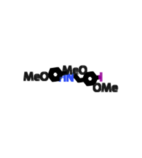 COc1ccc(CNCCc2cc(OC)c(I)cc2OC)cc1